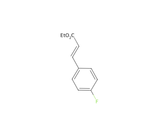 CCOC(=O)/C=C/c1ccc(F)cc1